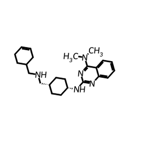 CN(C)c1nc(N[C@H]2CC[C@@H](CNCC3CC=CCC3)CC2)nc2ccccc12